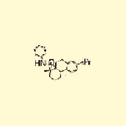 CC(C)c1ccc2c(c1)CC[C@H]1[C@@](C)(C(=O)Nc3ccccc3)CCC[C@]21C